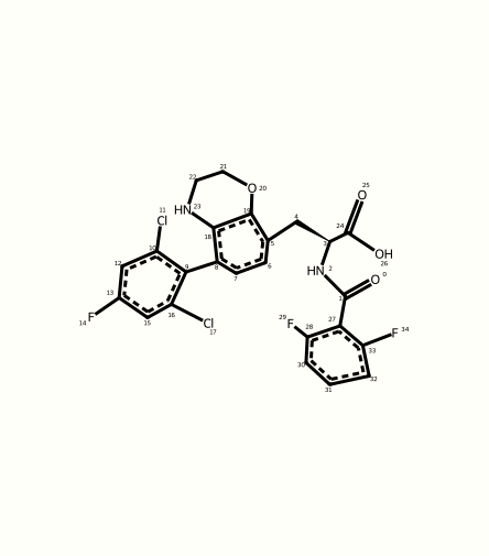 O=C(N[C@@H](Cc1ccc(-c2c(Cl)cc(F)cc2Cl)c2c1OCCN2)C(=O)O)c1c(F)cccc1F